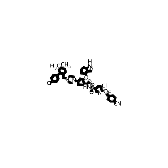 CC1(C)CCC(CN2CCN(c3ccc(C(=O)NS(=O)(=O)c4cnc(OC[C@]5(F)CC[C@H](C#N)CC5)c(Cl)c4)c(Oc4cccc5[nH]ncc45)c3)CC2)=C(c2ccc(Cl)cc2)C1